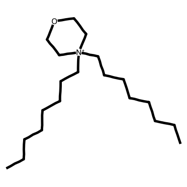 CCCCCCCC[N+]1(CCCCCCCC)CCOCC1